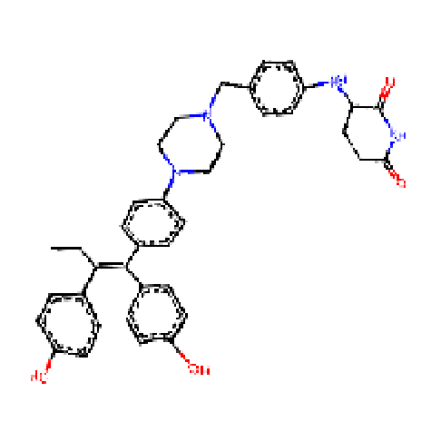 CCC(=C(c1ccc(O)cc1)c1ccc(N2CCN(Cc3ccc(NC4CCC(=O)NC4=O)cc3)CC2)cc1)c1ccc(O)cc1